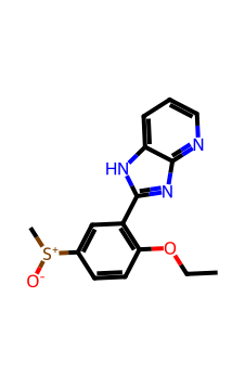 CCOc1ccc([S+](C)[O-])cc1-c1nc2ncccc2[nH]1